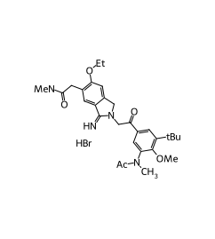 Br.CCOc1cc2c(cc1CC(=O)NC)C(=N)N(CC(=O)c1cc(N(C)C(C)=O)c(OC)c(C(C)(C)C)c1)C2